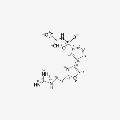 CC(NS(=O)(=O)c1cccc(-c2noc(CCNC(=N)N)n2)c1)C(=O)O